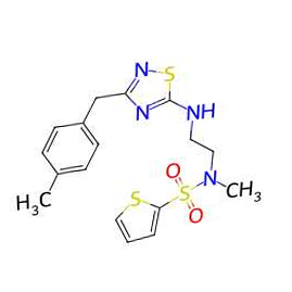 Cc1ccc(Cc2nsc(NCCN(C)S(=O)(=O)c3cccs3)n2)cc1